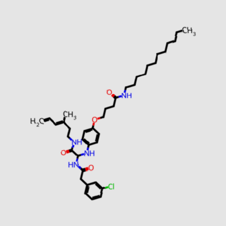 C=CC=C(C)CCNC(=O)C(NC(=O)Cc1cccc(Cl)c1)Nc1ccc(OCCCC(=O)NCCCCCCCCCCCC)cc1